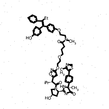 CC/C(=C(/c1ccc(O)cc1)c1ccc(OCCN(C)C(=O)CCCOCCOc2cc([C@H](C(=O)N3C[C@H](O)C[C@@H]3C3=NC(=O)[C@](C)(c4ccc(-c5scnc5C)cc4)N3)C(C)C)on2)cc1)c1ccccc1